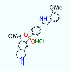 COc1cccc(CC(N)c2ccc(S(=O)(=O)c3cc4c(cc3OC)CCNC4)cc2)c1.Cl